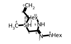 C=CC[SiH](C)CC(=NCCCCCC)NCCCCCC